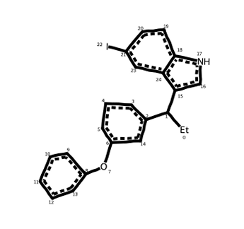 [CH2]CC(c1cccc(Oc2ccccc2)c1)c1c[nH]c2ccc(I)cc12